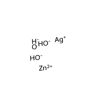 [Ag+].[OH-].[OH-].[OH-].[Zn+2]